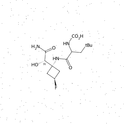 CC(C)(C)CC(NC(=O)O)C(=O)N[C@]1([C@H](O)C(N)=O)C[C@@H](F)C1